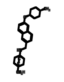 C[C@H]1CC[C@@H](Oc2ccc3cc(CNC45CCC(C(=O)O)(CC4)CC5)ccc3c2)CC1